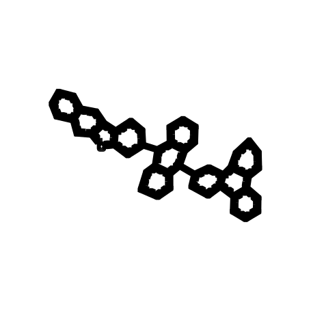 c1ccc2cc3c(cc2c1)oc1cc(-c2c4ccccc4c(-c4ccc5c6ccccc6c6ccccc6c5c4)c4ccccc24)ccc13